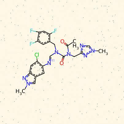 CC(=O)N(Cc1ncn(C)n1)C(=O)N(/C=N/c1cc2cn(C)nc2cc1Cl)Cc1cc(F)c(F)cc1F